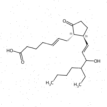 CCCCC(CC)C(O)C=C[C@@H]1CCC(=O)[C@H]1CC=CCCCC(=O)O